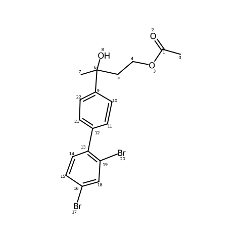 CC(=O)OCCC(C)(O)c1ccc(-c2ccc(Br)cc2Br)cc1